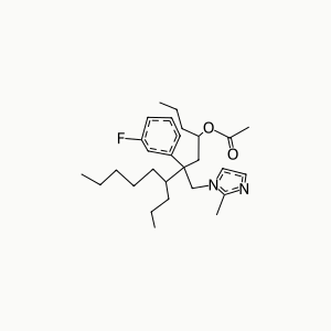 CCCCCC(CCC)C(CC(CCC)OC(C)=O)(Cn1ccnc1C)c1cccc(F)c1